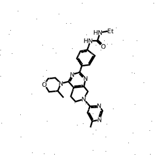 CCNC(=O)Nc1ccc(-c2nc3c(c(N4CCOCC4C)n2)CCN(c2cc(C)ncn2)C3)cc1